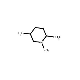 CN1CC(C(F)(F)F)CCC1C(=O)O